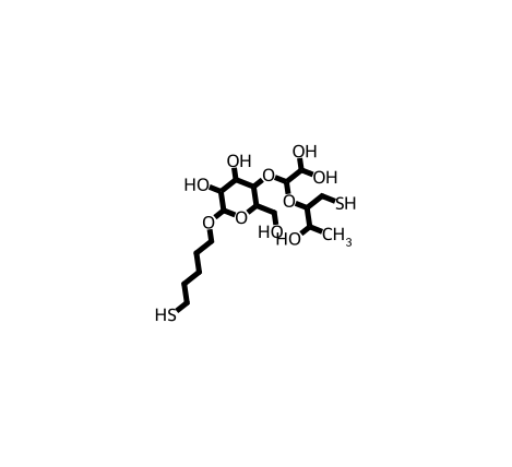 CC(O)C(CS)OC(OC1C(CO)OC(OCCCCCS)C(O)C1O)C(O)O